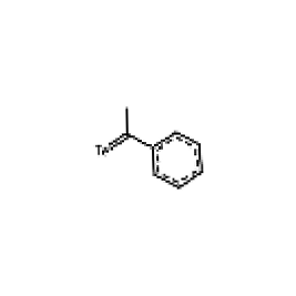 CC(=[Te])c1ccccc1